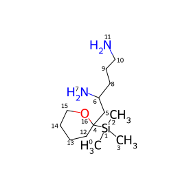 C[Si](C)(C)C1(CC(N)CCCN)CCCCO1